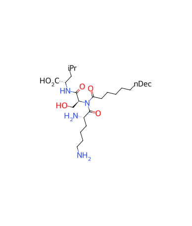 CCCCCCCCCCCCCCCC(=O)N(C(=O)[C@@H](N)CCCCN)[C@@H](CO)C(=O)N[C@@H](CC(C)C)C(=O)O